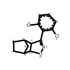 Clc1cccc(Cl)c1C1=NOC2C3CCC(C3)C12